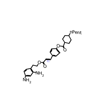 CCCCCC1CCC(C(=O)Oc2ccc(/C=C/C(=O)OCCc3ccc(N)cc3N)cc2)CC1